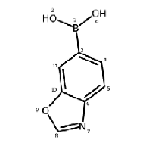 OB(O)c1ccc2ncoc2c1